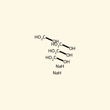 O=C(O)O.O=C(O)O.O=C(O)O.O=C(O)O.[NaH].[NaH]